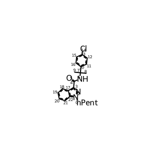 CCCCCn1nc(C(=O)NC(C)(C)c2ccc(Cl)cc2)c2ccccc21